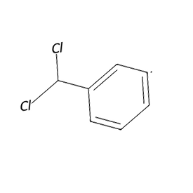 ClC(Cl)c1c[c]ccc1